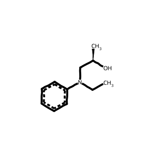 CCN(C[C@@H](C)O)c1ccccc1